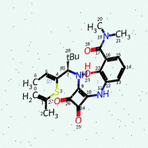 C=C(C)S/C(=C\C)[C@H](Nc1c(Nc2cccc(C(=O)N(C)C)c2O)c(=O)c1=O)C(C)(C)C